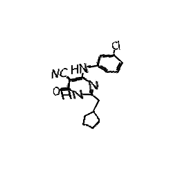 N#Cc1c(Nc2cccc(Cl)c2)nc(CC2CCCC2)[nH]c1=O